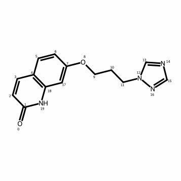 O=c1ccc2ccc(OCCCn3cncn3)cc2[nH]1